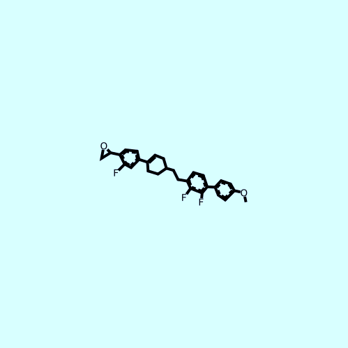 COc1ccc(-c2ccc(CCC3CC=C(c4ccc(C5CO5)c(F)c4)CC3)c(F)c2F)cc1